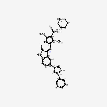 Cc1[nH]c(/C=C2\C(=O)Nc3ccc(-c4cnn(-c5ccccc5)c4)cc32)c(C)c1C(=O)N[C@H]1CCCNC1